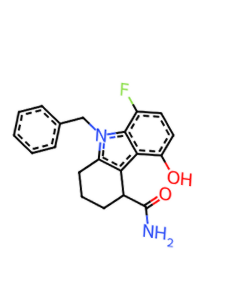 NC(=O)C1CCCc2c1c1c(O)ccc(F)c1n2Cc1ccccc1